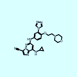 N#Cc1cnc2c(NC3CC3)cc(Nc3ccc(OCCN4CCOCC4)c(-n4cnnc4)c3)nn12